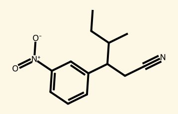 CCC(C)C(CC#N)c1cccc([N+](=O)[O-])c1